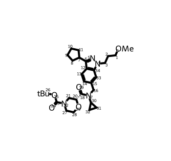 COCCCn1nc(C2CCCC2)c2ccc(CN(C(=O)[C@H]3CN(C(=O)OC(C)(C)C)CCO3)C3CC3)cc21